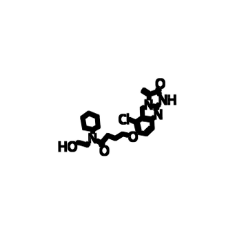 C=c1c(=O)[nH]c2n1Cc1c(ccc(OCCCC(=O)N(CCO)C3CCCCC3)c1Cl)N=2